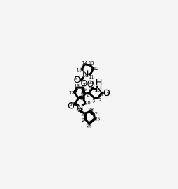 O=C1CCC(c2c(OC(=O)N3CCCCC3)ccc3c2CN(Cc2ccccc2)C3=O)C(=O)N1